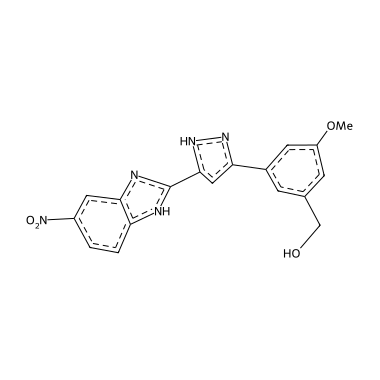 COc1cc(CO)cc(-c2cc(-c3nc4cc([N+](=O)[O-])ccc4[nH]3)[nH]n2)c1